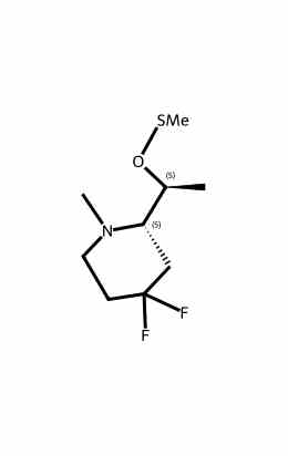 CSO[C@@H](C)[C@@H]1CC(F)(F)CCN1C